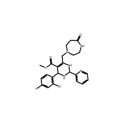 COC(=O)C1=C(CN2CCNC(=O)CC2)NC(c2ccccn2)NC1c1ccc(F)cc1Cl